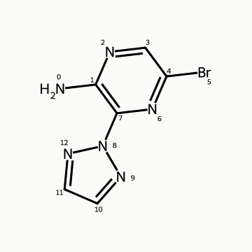 Nc1ncc(Br)nc1-n1nccn1